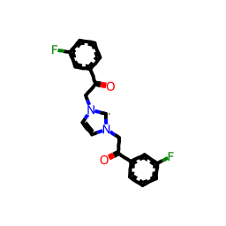 O=C(CN1[CH]N(CC(=O)c2cccc(F)c2)C=C1)c1cccc(F)c1